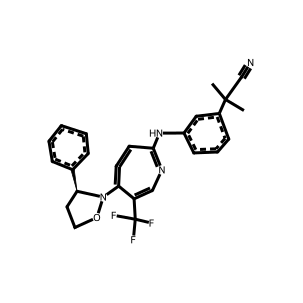 CC(C)(C#N)c1cccc(NC2=NC=C(C(F)(F)F)C(N3OCC[C@H]3c3ccccc3)=C=C2)c1